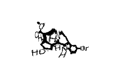 COC(=O)C1=CN2CCc3c([nH]c4ccc(Br)cc34)[C@@H]2[C@@H]2C[C@@H](O)C[C@H]12